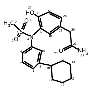 CS(=O)(=O)N(c1cccc(C2CCCCC2)c1)c1cc(CC(N)=O)ccc1O